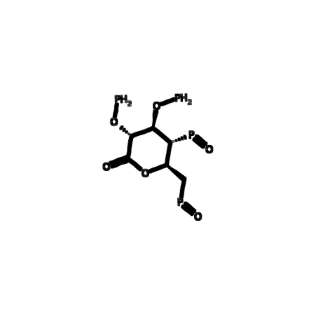 O=PC[C@H]1OC(=O)[C@H](OP)[C@@H](OP)[C@@H]1P=O